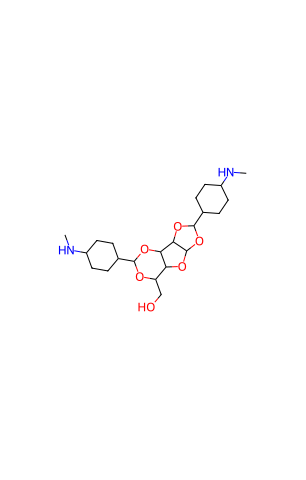 CNC1CCC(C2OC3OC4C(CO)OC(C5CCC(NC)CC5)OC4C3O2)CC1